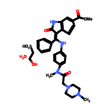 COC(=O)c1ccc2c(c1)NC(=O)C2=C(Nc1ccc(N(C)C(=O)CN2CCN(C)CC2)cc1)c1ccccc1.O.O=S(=O)(O)CCO